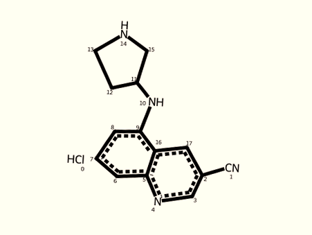 Cl.N#Cc1cnc2cccc(NC3CCNC3)c2c1